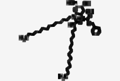 CCCCCCCCCCCCCCNC(=O)N(CCCCCCCCCCCCCC)[C@@H]1O[C@H](CO)[C@H](O)[C@H](O)[C@H]1NC(=O)OCc1ccccc1